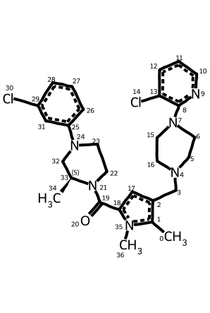 Cc1c(CN2CCN(c3ncccc3Cl)CC2)cc(C(=O)N2CCN(c3cccc(Cl)c3)C[C@@H]2C)n1C